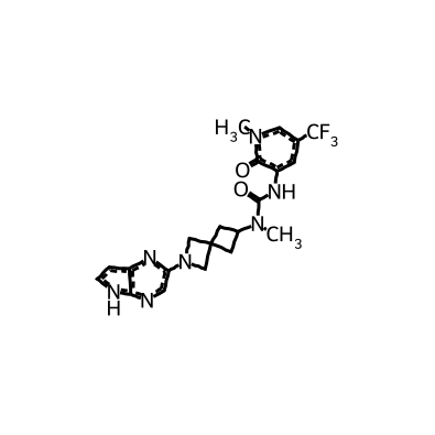 CN(C(=O)Nc1cc(C(F)(F)F)cn(C)c1=O)C1CC2(C1)CN(c1cnc3[nH]ccc3n1)C2